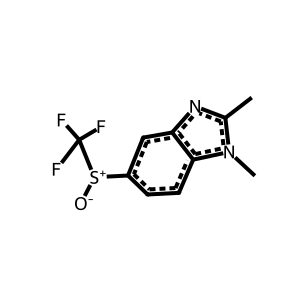 Cc1nc2cc([S+]([O-])C(F)(F)F)ccc2n1C